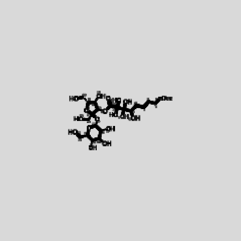 CCCCCCCCCCCCCCC(O)C(O)(O)C(O)(O)C(=O)O[C@H]1[C@H](O)[C@@H](CO)O[C@@]1(CO)O[C@H]1O[C@H](CO)[C@@H](O)[C@H](O)[C@H]1O